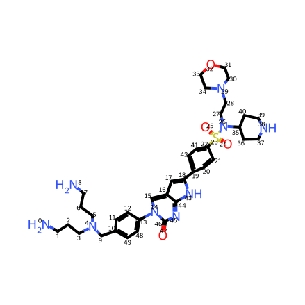 NCCCN(CCCN)Cc1ccc(-n2cc3cc(-c4ccc(S(=O)(=O)N(CCN5CCOCC5)C5CCNCC5)cc4)[nH]c3nc2=O)cc1